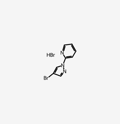 Br.Brc1cnn(-c2ccccn2)c1